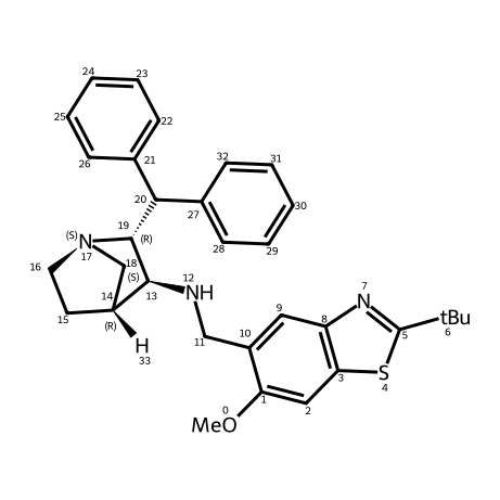 COc1cc2sc(C(C)(C)C)nc2cc1CN[C@H]1[C@@H]2CC[N@](C2)[C@@H]1C(c1ccccc1)c1ccccc1